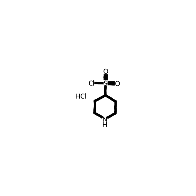 Cl.O=S(=O)(Cl)C1CCNCC1